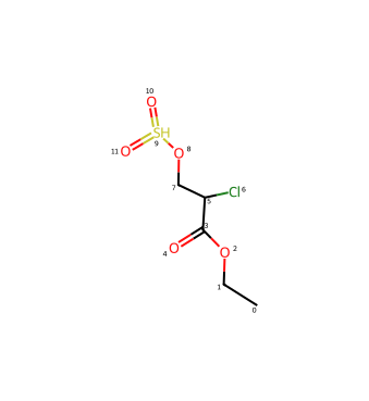 CCOC(=O)C(Cl)CO[SH](=O)=O